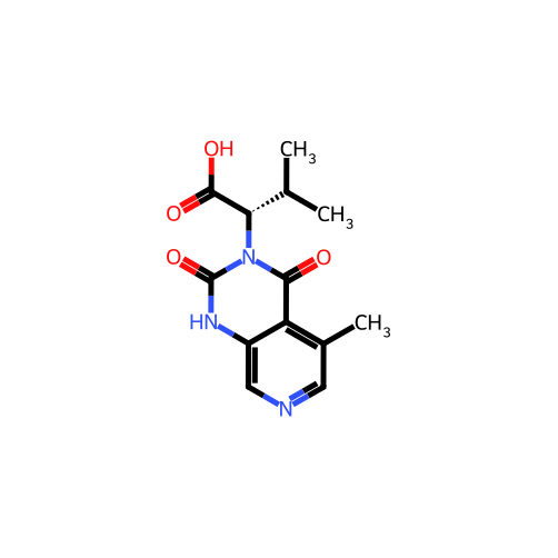 Cc1cncc2[nH]c(=O)n([C@H](C(=O)O)C(C)C)c(=O)c12